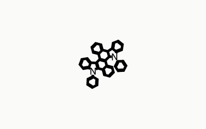 c1ccc(N2c3ccccc3C3c4ccccc4-c4c(c5ccccc5c5c4c4ccccc4n5-c4ccccc4)C32)cc1